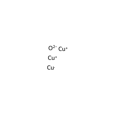 [Cu+].[Cu+].[Cu].[O-2]